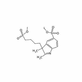 CC1=Nc2ccc(S(=O)(=O)OI)cc2C1(C)CCCCS(=O)(=O)OI